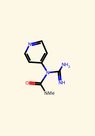 CNC(=O)N(C(=N)N)c1ccncc1